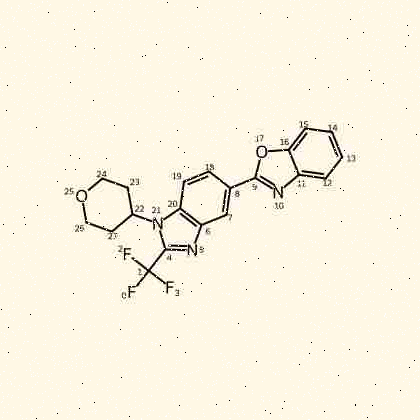 FC(F)(F)c1nc2cc(-c3nc4ccccc4o3)ccc2n1C1CCOCC1